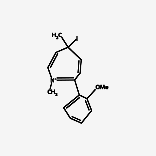 COc1ccccc1C1=[N+](C)C=CC(C)(I)C=C1